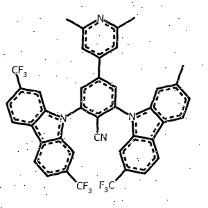 Cc1ccc2c3ccc(C(F)(F)F)cc3n(-c3cc(-c4cc(C)nc(C)c4)cc(-n4c5cc(C(F)(F)F)ccc5c5ccc(C(F)(F)F)cc54)c3C#N)c2c1